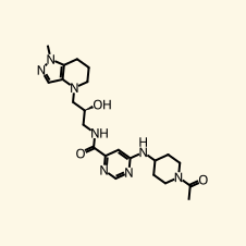 CC(=O)N1CCC(Nc2cc(C(=O)NC[C@H](O)CN3CCCc4c3cnn4C)ncn2)CC1